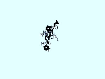 CC(C)C1CN(C(=O)Nc2cccc(F)c2)CCN1/C(=N\C#N)Nc1cccc2c1CCN(C(=O)CC1CC1)C2